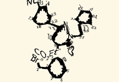 BrCc1ccccc1.CCOC(=O)c1cc(-c2ccc(C#N)cc2)nn(Cc2ccccc2)c1=O